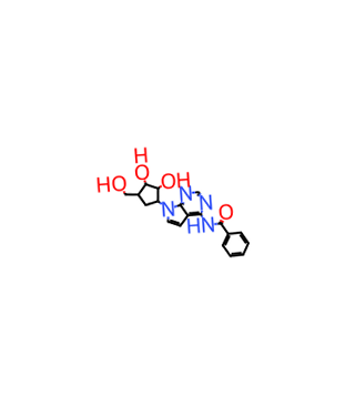 O=C(Nc1ncnc2c1ccn2C1CC(CO)C(O)C1O)c1ccccc1